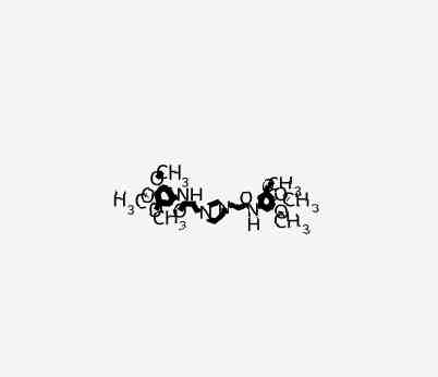 COc1cc(NC(=O)CCN2CCCN(CCC(=O)Nc3cc(OC)c(OC)c(OC)c3)CC2)cc(OC)c1OC